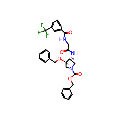 O=C(CNC(=O)c1cccc(C(F)(F)F)c1)N[C@@H]1CN(C(=O)OCc2ccccc2)C[C@H]1OCc1ccccc1